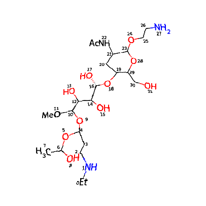 CCNCCC(OC(C)O)OC(OC)C(O)C(O)[C@H](O)OC1CC(NC(C)=O)C(OCCN)OC1CO